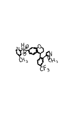 Cc1ccnc(NS(=O)(=O)c2ccc3c(c2)OCCC3c2ccc(C(F)(F)F)cc2-c2ccnn2C)c1